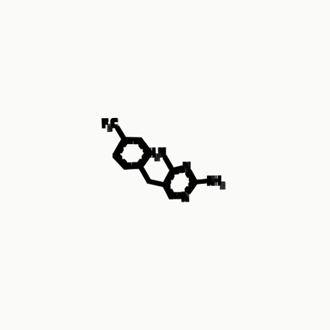 Nc1ncc(Cc2ccc(C(F)(F)F)cc2)c(N)n1